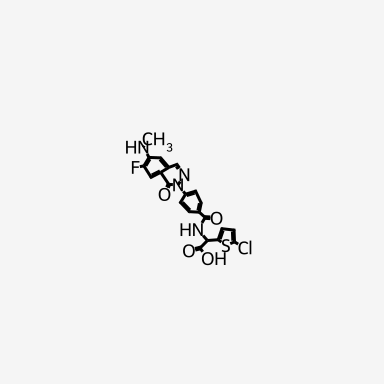 CNc1cc2cnn(-c3ccc(C(=O)NC(C(=O)O)c4ccc(Cl)s4)cc3)c(=O)c2cc1F